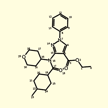 CCOC(=O)c1cn(-c2ccccc2)nc1N(C(=O)C1CCC(C)CC1)C1CCOCC1